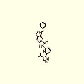 CC(C)n1cnnc1-c1cccc(NC(=O)c2cc3c(ccn3Cc3ccccc3)cn2)n1